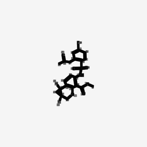 COC(=O)c1c(NS(=O)(=O)c2ccc(F)cc2CC(C)=O)ccc2c1OC[C@@H]1C[C@H]21